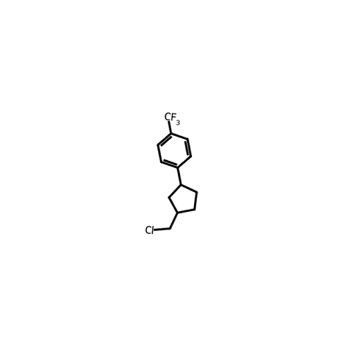 FC(F)(F)c1ccc(C2CCC(CCl)C2)cc1